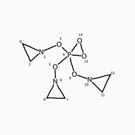 C1CN1OP1(ON2CC2)(ON2CC2)OO1